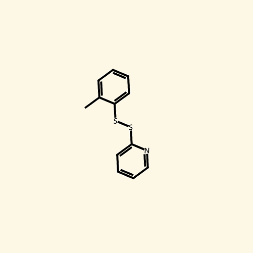 Cc1ccccc1SSc1ccccn1